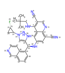 CC(C)(C)CNc1c(C#N)cnc2c(C#N)cc(N[C@H](C3=CN(C4C[C@@H]4F)NN3)c3cccc4cnccc34)cc12